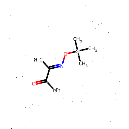 CCCC(=O)C(C)=NO[Si](C)(C)C